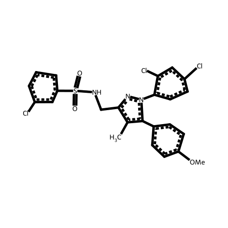 COc1ccc(-c2c(C)c(CNS(=O)(=O)c3cccc(Cl)c3)nn2-c2ccc(Cl)cc2Cl)cc1